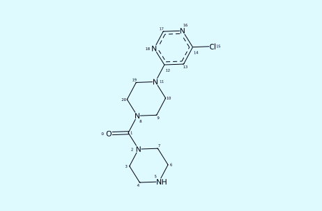 O=C(N1CCNCC1)N1CCN(c2cc(Cl)ncn2)CC1